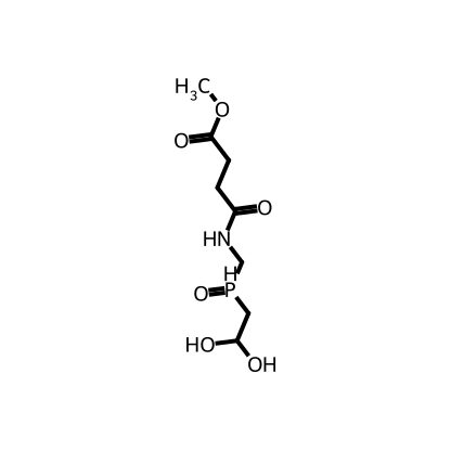 COC(=O)CCC(=O)NC[PH](=O)CC(O)O